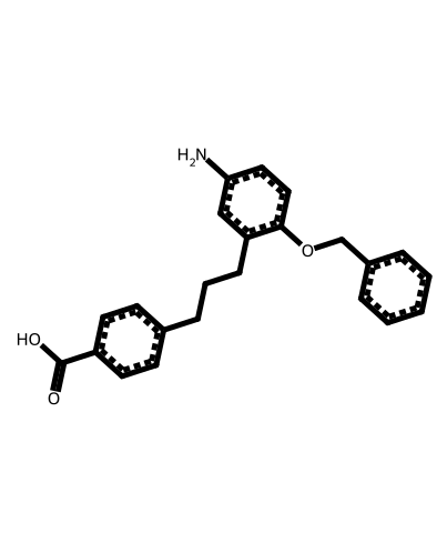 Nc1ccc(OCc2ccccc2)c(CCCc2ccc(C(=O)O)cc2)c1